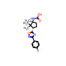 CC1(C)[C@@H](c2nc(-c3ccc(F)cc3)no2)CC[C@@]1(C)NC(=O)O